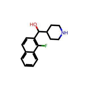 OC(c1ccc2ccccc2c1F)C1CCNCC1